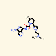 CC1CCC(c2ccn(CCN(C)C)n2)N(C(=O)C(=O)Nc2cnc(N)c3cn[nH]c23)C1